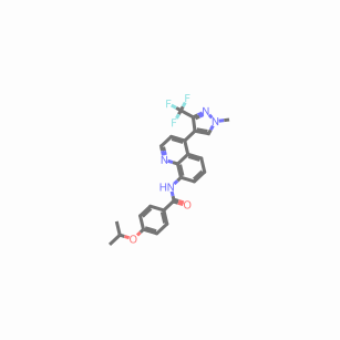 CC(C)Oc1ccc(C(=O)Nc2cccc3c(-c4cn(C)nc4C(F)(F)F)ccnc23)cc1